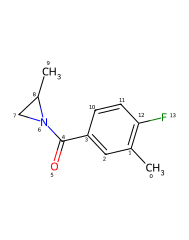 Cc1cc(C(=O)N2CC2C)ccc1F